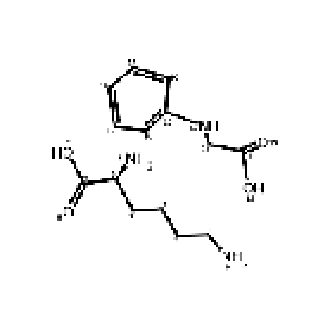 NCCCC[C@H](N)C(=O)O.O=C(O)CNc1ccccc1